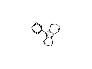 C1=Cc2c(c3c(n2-c2ccccc2)CCC=C3)CC1